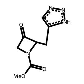 COC(=O)N1CC(=O)C1Cc1cnn[nH]1